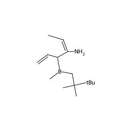 C=CC(B(C)CC(C)(C)C(C)(C)C)/C(N)=C\C